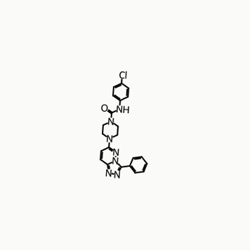 O=C(Nc1ccc(Cl)cc1)N1CCN(c2ccc3nnc(-c4ccccc4)n3n2)CC1